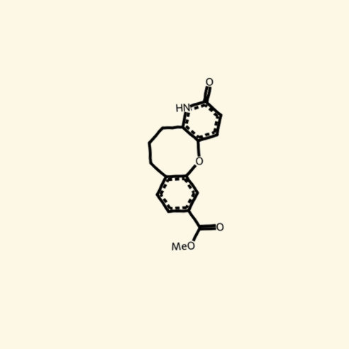 COC(=O)c1ccc2c(c1)Oc1ccc(=O)[nH]c1CCC2